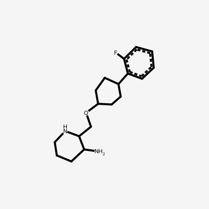 NC1CCCNC1COC1CCC(c2ccccc2F)CC1